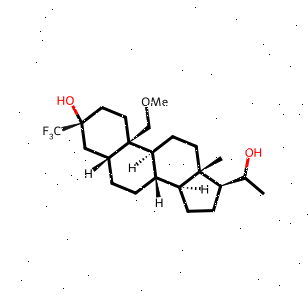 COC[C@]12CC[C@](O)(C(F)(F)F)C[C@H]1CC[C@H]1[C@@H]3CC[C@H](C(C)O)[C@@]3(C)CC[C@@H]12